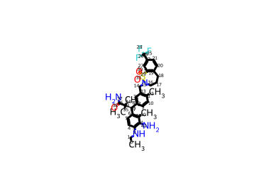 CCNc1ccc([C@H](c2ccc(C)c(CN3CCCc4ccc(C(F)(F)F)cc4S3(=O)=O)c2)C(C)(C)C(N)=O)c(C)c1N